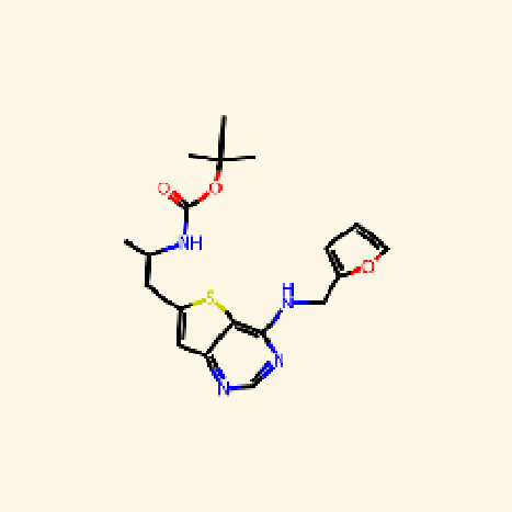 CC(Cc1cc2ncnc(NCc3ccco3)c2s1)NC(=O)OC(C)(C)C